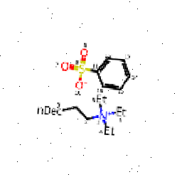 CCCCCCCCCCCC[N+](CC)(CC)CC.O=S(=O)([O-])c1ccccc1